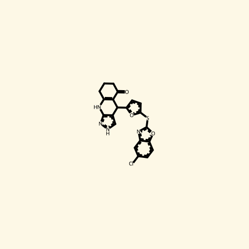 O=C1CCCC2=C1C(c1ccc(Sc3nc4cc(Cl)ccc4o3)o1)c1c[nH]nc1N2